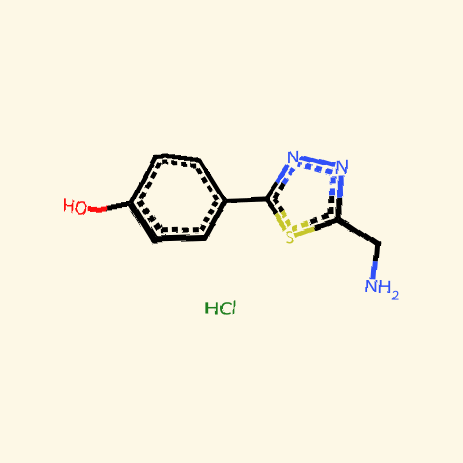 Cl.NCc1nnc(-c2ccc(O)cc2)s1